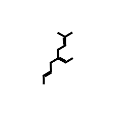 CC=CCC(=CC)CC=C(C)C